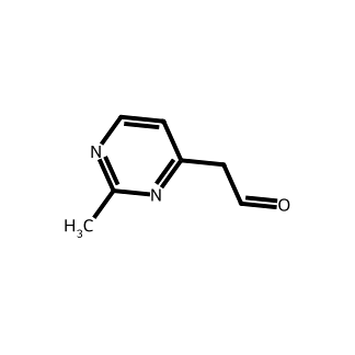 Cc1nccc(CC=O)n1